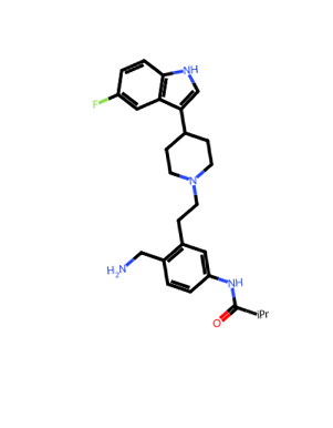 CC(C)C(=O)Nc1ccc(CN)c(CCN2CCC(c3c[nH]c4ccc(F)cc34)CC2)c1